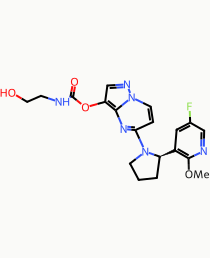 COc1ncc(F)cc1[C@H]1CCCN1c1ccn2ncc(OC(=O)NCCO)c2n1